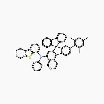 Cc1cc(C)c(-c2ccc3c(c2)C2(c4ccccc4-c4ccccc42)c2cc(N(c4ccccc4)c4cccc5c4sc4ccccc45)c4ccccc4c2-3)c(C)c1